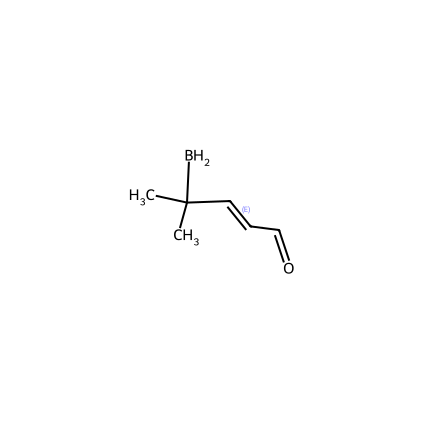 BC(C)(C)/C=C/C=O